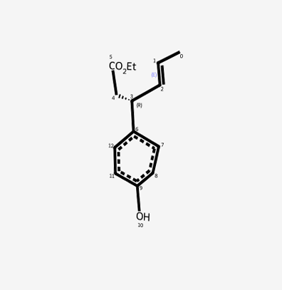 C/C=C/[C@@H](CC(=O)OCC)c1ccc(O)cc1